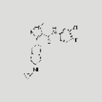 Cn1cnc(C2CC3CC(NC4CC4)CC3C2)c1C(=O)Nc1ccc(F)c(Cl)c1